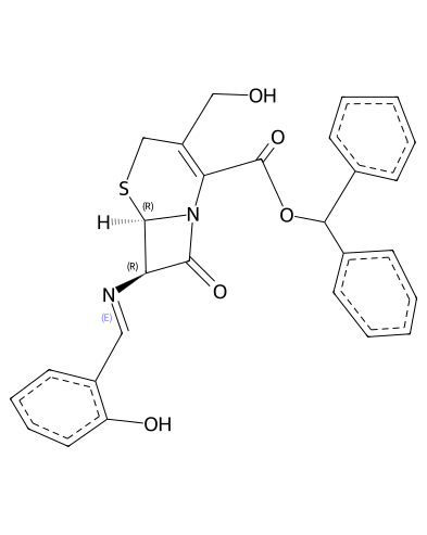 O=C(OC(c1ccccc1)c1ccccc1)C1=C(CO)CS[C@@H]2[C@H](/N=C/c3ccccc3O)C(=O)N12